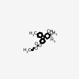 C=CCOC(=O)Oc1ccc(C2(c3ccc(C)cc3)CCC(C)(C)C(C)C2)cc1